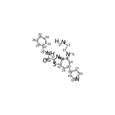 CN(CCN)c1cc(-c2ccncc2)cc2sc(C(=O)NCc3ccccc3)nc12